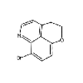 Brc1ccc2c3c(ccnc13)CCO2